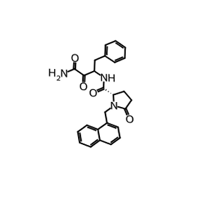 NC(=O)C(=O)C(Cc1ccccc1)NC(=O)[C@@H]1CCC(=O)N1Cc1cccc2ccccc12